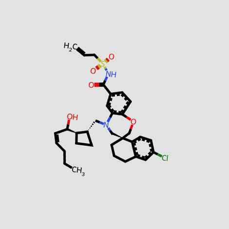 C=CCS(=O)(=O)NC(=O)c1ccc2c(c1)N(C[C@@H]1CC[C@H]1C(O)/C=C\CCC)C[C@@]1(CCCc3cc(Cl)ccc31)CO2